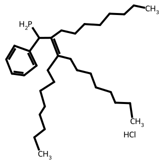 CCCCCCCCC(CCCCCCCC)=C(CCCCCCCC)C(P)c1ccccc1.Cl